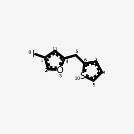 Ic1coc(Cc2cccs2)c1